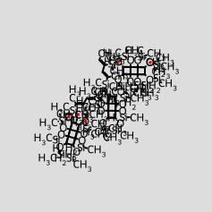 CC=C(C=C(C)[Si](C)(C)OC12C3(O[SiH2]C)C4(O[SiH2]C)C5(O[SiH2]C)C3(O[SiH2]C)C1(O[Si](C)(C)C)C5(O[Si](C)(C)C(C)=CC=C(C)[Si](C)(C)OC13C5(O[SiH2]C)C6(O[SiH2]C)C7(O[SiH2]C)C5(O[SiH2]C)C1(O[Si](C)(C)C)C7(O[Si](C)(C)C)C63O[Si](C)(C)C)C42O[Si](C)(C)C)[Si](C)(C)OC12C3(O[SiH2]C)C4(O[SiH2]C)C5(O[SiH2]C)C3(O[SiH2]C)C1(O[Si](C)(C)C)C5(O[Si](C)(C)C)C42O[Si](C)(C)C